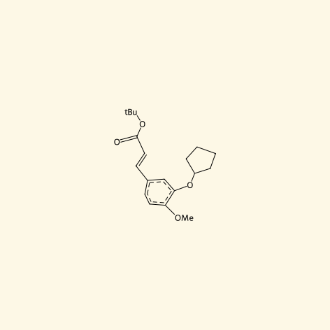 COc1ccc(/C=C/C(=O)OC(C)(C)C)cc1OC1CCCC1